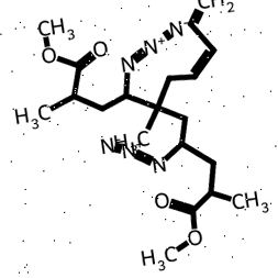 C=C/C=C\CC(C)(CC(CC(C)C(=O)OC)N=[N+]=[N-])C(CC(C)C(=O)OC)N=[N+]=[N-]